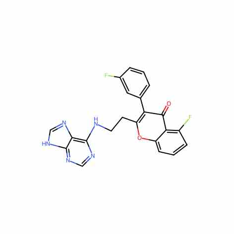 O=c1c(-c2cccc(F)c2)c(CCNc2ncnc3[nH]cnc23)oc2cccc(F)c12